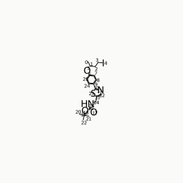 CC(CCI)Oc1ccc(-c2ncc(CNC(=O)OC(C)(C)C)s2)cc1